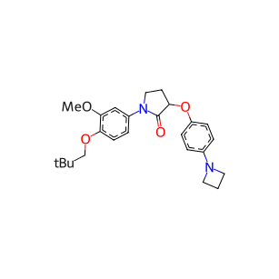 COc1cc(N2CCC(Oc3ccc(N4CCC4)cc3)C2=O)ccc1OCC(C)(C)C